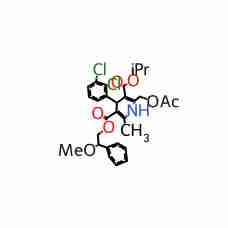 CO[C@@H](COC(=O)C1=C(C)NC(COC(C)=O)=C(C(=O)OC(C)C)C1c1cccc(Cl)c1Cl)c1ccccc1